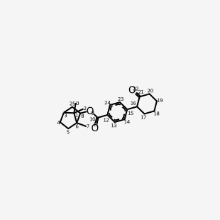 CC1(C)C2CCC1(C)C(OC(=O)c1ccc(C3CCCCC3=O)cc1)C2